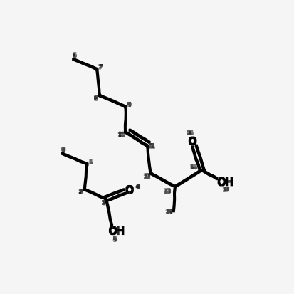 CCCC(=O)O.CCCCC=CCC(C)C(=O)O